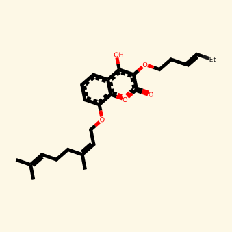 CCC=CCCOc1c(O)c2cccc(OCC=C(C)CCC=C(C)C)c2oc1=O